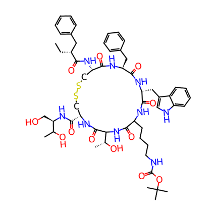 CC[C@H](Cc1ccccc1)C(=O)N[C@H]1CSSC[C@@H](C(=O)N[C@H](CO)C(C)O)NC(=O)C([C@@H](C)O)NC(=O)C(CCCCNC(=O)OC(C)(C)C)NC(=O)[C@@H](Cc2c[nH]c3ccccc23)NC(=O)[C@H](Cc2ccccc2)NC1=O